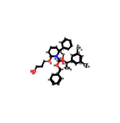 C[C@@H](OC[C@@]1(c2ccccc2)C=CCC(OCCCO)N1C(=O)OCc1ccccc1)c1cc(C(F)(F)F)cc(C(F)(F)F)c1